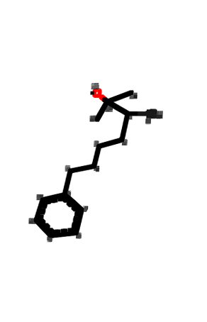 CC(C)(C)C(CCCCc1ccccc1)C(C)(C)[O]